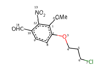 COc1c(OCCCCl)ccc(C=O)c1[N+](=O)[O-]